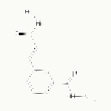 NNC(=O)c1cccc(C=CC(=O)NO)c1